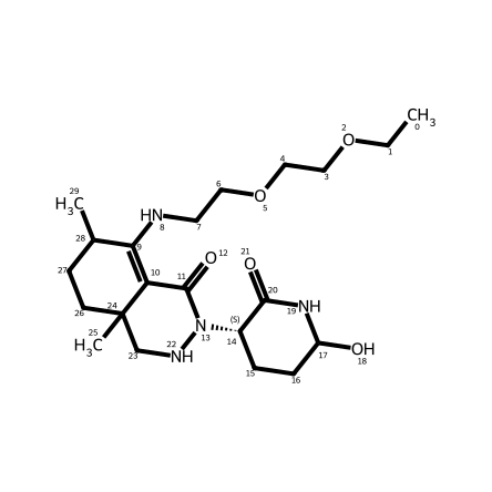 CCOCCOCCNC1=C2C(=O)N([C@H]3CCC(O)NC3=O)NCC2(C)CCC1C